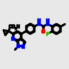 Cc1ccc(F)c(NC(=O)Nc2ccc(-c3cc(C4(C(=O)O)CC4)nc4c3cnn4C)cc2)c1